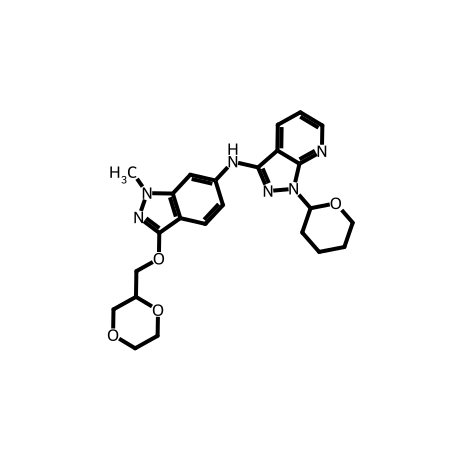 Cn1nc(OCC2COCCO2)c2ccc(Nc3nn(C4CCCCO4)c4ncccc34)cc21